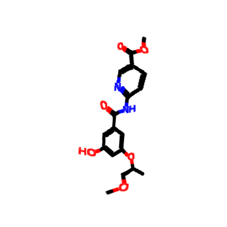 COCC(C)Oc1cc(O)cc(C(=O)Nc2ccc(C(=O)OC)cn2)c1